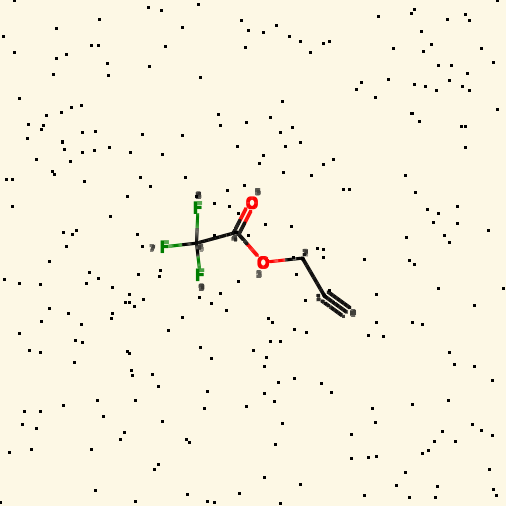 C#CCOC(=O)C(F)(F)F